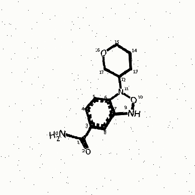 NC(=O)c1ccc2c(c1)NON2C1CCCOC1